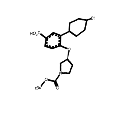 CCC1CCC(c2cc(C(=O)O)ccc2O[C@H]2CCN(C(=O)OC(C)(C)C)C2)CC1